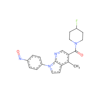 Cc1c(C(=O)N2CCC(F)CC2)cnc2c1ccn2-c1ccc(N=O)cc1